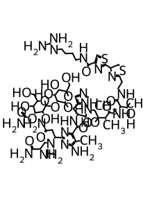 Cc1c(N)nc(C(CC(N)=O)NCC(N)C(N)=O)nc1C(=O)NC(C(=O)NC(C)C(O)C(C)C(=O)NC(C(=O)NCCC1=NC(c2nc(C(=O)NCCCCN=C(N)N)cs2)CS1)C(C)O)C(OC1OC(CO)C(O)C(O)C1OC1OC(CO)C(O)C(OC(N)=O)C1O)c1cnc[nH]1